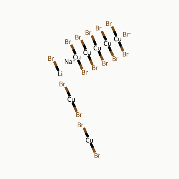 [Br-].[Br][Cu][Br].[Br][Cu][Br].[Br][Cu][Br].[Br][Cu][Br].[Br][Cu][Br].[Br][Cu][Br].[Br][Cu][Br].[Li][Br].[Na+]